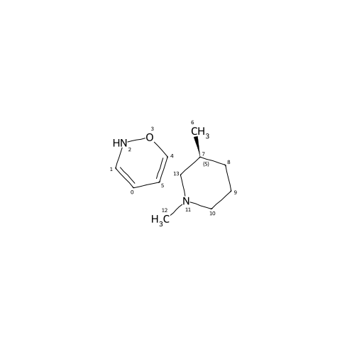 C1=CNOC=C1.C[C@H]1CCCN(C)C1